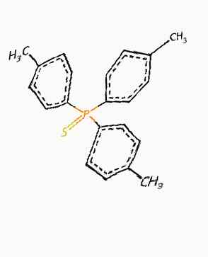 Cc1ccc(P(=S)(c2ccc(C)cc2)c2ccc(C)cc2)cc1